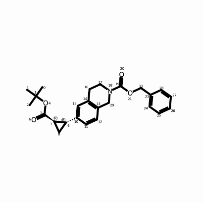 CC(C)(C)OC(=O)[C@@H]1C[C@H]1c1ccc2c(c1)CCN(C(=O)OCc1ccccc1)C2